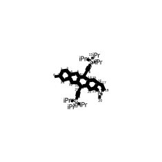 Cc1ccc2cc3c(C#C[Si](C(C)C)(C(C)C)C(C)C)c4cc5ccn(C)c5cc4c(C#C[Si](C(C)C)(C(C)C)C(C)C)c3cc2c1